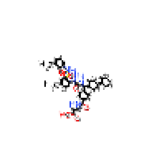 Cc1cccc(NS(=O)(=O)c2cc(C)ccc2NC(=O)NC(c2ccc(C(=O)NCCC(=O)O)cc2)C2CCC(C3CCCCC3)CC2)c1